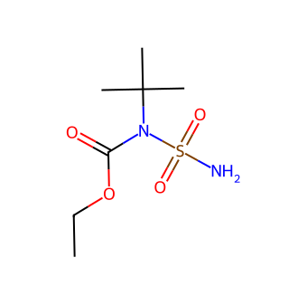 CCOC(=O)N(C(C)(C)C)S(N)(=O)=O